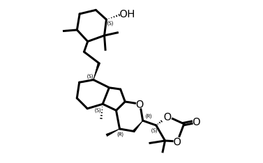 CC1CC[C@H](O)C(C)(C)C1CC[C@@H]1CCC[C@@]2(C)C1CC1O[C@@H]([C@@H]3OC(=O)OC3(C)C)C[C@@H](C)C12